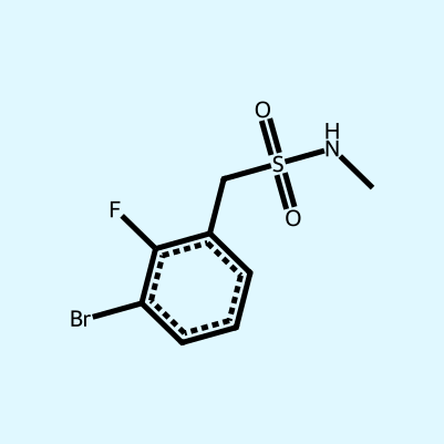 CNS(=O)(=O)Cc1cccc(Br)c1F